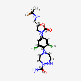 CC(=S)NC[C@H]1CN(c2cc(F)c(N3CCNN(C(N)=O)CC3)c(F)c2)C(=O)O1